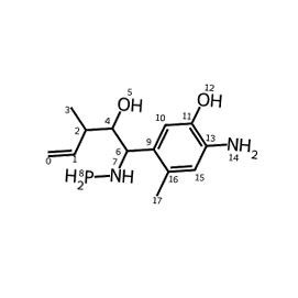 C=CC(C)C(O)C(NP)c1cc(O)c(N)cc1C